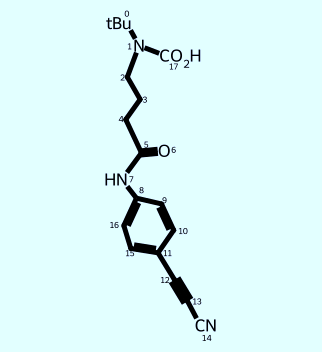 CC(C)(C)N(CCCC(=O)Nc1ccc(C#CC#N)cc1)C(=O)O